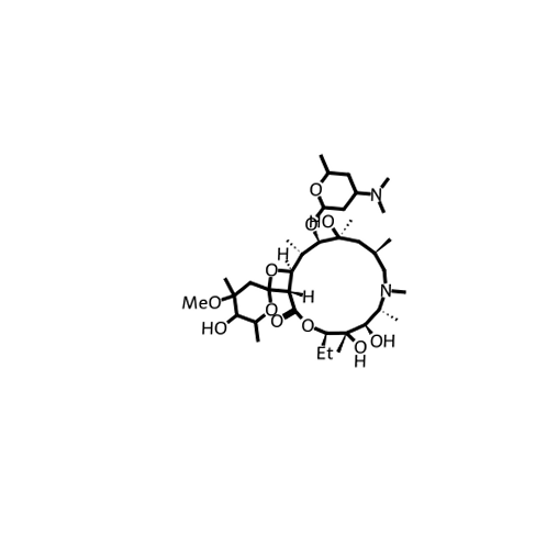 CC[C@H]1OC(=O)[C@H]2[C@@H](OC23CC(C)(OC)C(O)C(C)O3)[C@H](C)[C@@H](OC2CC(N(C)C)CC(C)O2)[C@@](C)(O)C[C@@H](C)CN(C)[C@H](C)[C@@H](O)[C@]1(C)O